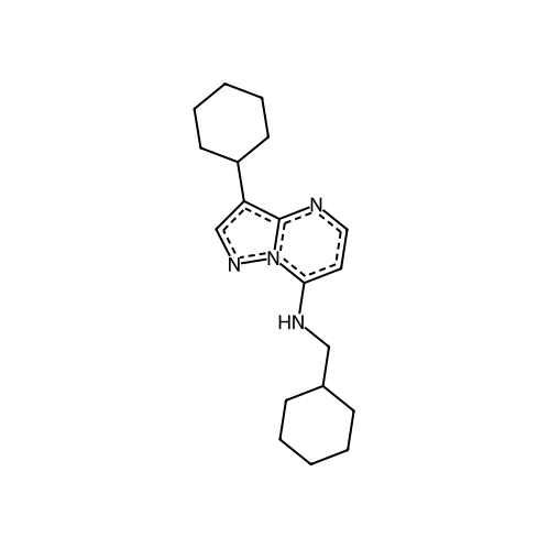 c1cc(NCC2CCCCC2)n2ncc(C3CCCCC3)c2n1